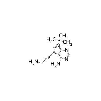 CC(C)(C)n1cc(C#CCN)c2c(N)ncnc21